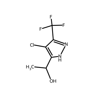 CC(O)c1[nH]nc(C(F)(F)F)c1Cl